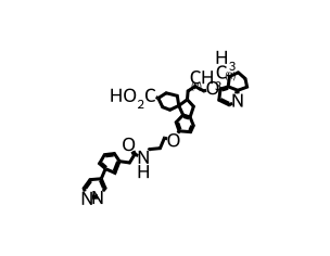 C[C@@H](COc1ccnc2c1[C@H](C)CCC2)CC1Cc2ccc(OCCCNC(=O)Cc3cccc(-c4ccnnc4)c3)cc2C12CCC(C(=O)O)CC2